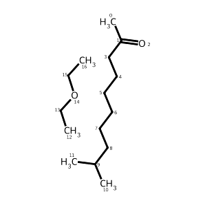 CC(=O)CCCCCCC(C)C.CCOCC